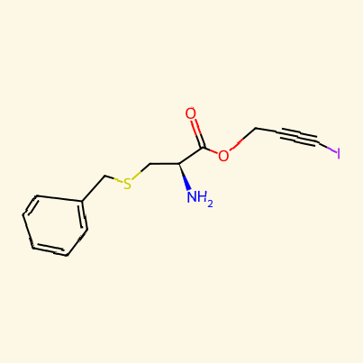 N[C@@H](CSCc1ccccc1)C(=O)OCC#CI